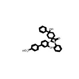 O=C1N(c2ccccc2)[C@H](c2ccc(-c3ccc(S(=O)(=O)O)cc3)cc2O)C12CCC(O)(c1ccccc1)CC2